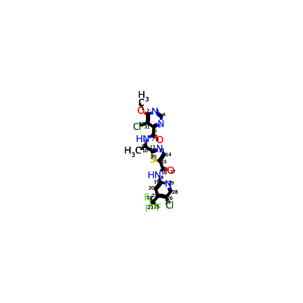 COc1ncnc(C(=O)N[C@H](C)c2ncc(C(=O)Nc3cc(C(F)(F)F)c(Cl)cn3)s2)c1Cl